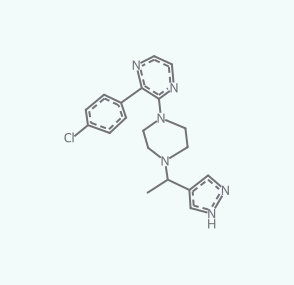 CC(c1cn[nH]c1)N1CCN(c2nccnc2-c2ccc(Cl)cc2)CC1